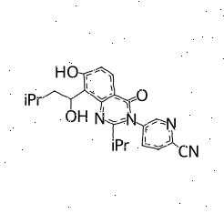 CC(C)CC(O)c1c(O)ccc2c(=O)n(-c3ccc(C#N)nc3)c(C(C)C)nc12